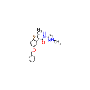 Cc1sc2ccc(OCc3ccccc3)cc2c1C(=O)Nc1ccn(C)n1